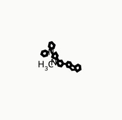 Cn1c2ccc(-c3ccc4c(c3)Cc3ccccc3-4)cc2c2ccc(N(c3ccccc3)c3ccccc3)cc21